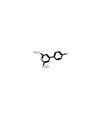 CCOC(=O)c1cc(-c2ccc(CC)cc2)cc(C(=O)OCC)n1